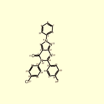 O=c1c2cn(-c3ccccc3)nc2nc(-c2ccc(I)cc2)n1-c1ccc(Cl)cc1